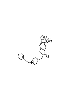 O=C1c2cc(O)c(O)cc2CC1CC1CCN(CC2=CCCC=C2)CC1